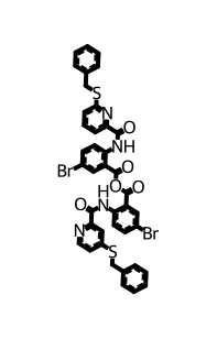 O=C(Nc1ccc(Br)cc1C(=O)OC(=O)c1cc(Br)ccc1NC(=O)c1cccc(SCc2ccccc2)n1)c1cc(SCc2ccccc2)ccn1